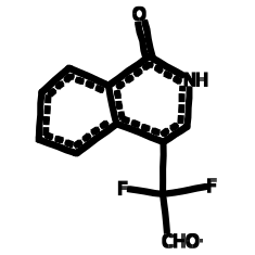 O=[C]C(F)(F)c1c[nH]c(=O)c2ccccc12